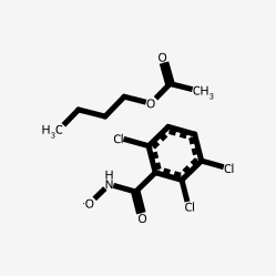 CCCCOC(C)=O.[O]NC(=O)c1c(Cl)ccc(Cl)c1Cl